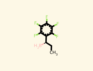 B[C@H](CC)c1c(F)c(F)c(F)c(F)c1F